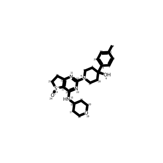 Cc1ccc(C2(O)CCN(c3nc4c(c(NC5CCOCC5)n3)[S+]([O-])CC4)CC2)cc1